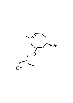 CC1=CCC[C@@H](C(C)C)C=C(OC[C@H](O)CO)C1